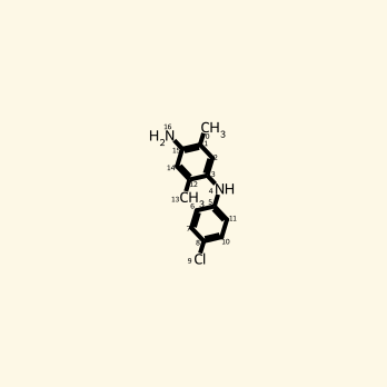 Cc1cc(Nc2ccc(Cl)cc2)c(C)cc1N